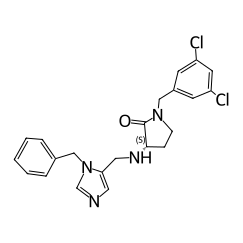 O=C1[C@@H](NCc2cncn2Cc2ccccc2)CCN1Cc1cc(Cl)cc(Cl)c1